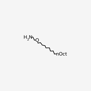 CCCCCCCCCCCCCCCCCOCCN